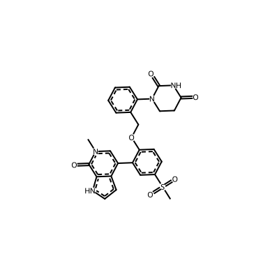 Cn1cc(-c2cc(S(C)(=O)=O)ccc2OCc2ccccc2N2CCC(=O)NC2=O)c2cc[nH]c2c1=O